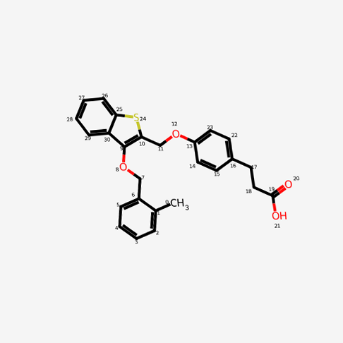 Cc1ccccc1COc1c(COc2ccc(CCC(=O)O)cc2)sc2ccccc12